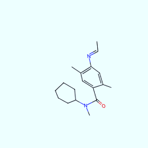 C/C=N/c1cc(C)c(C(=O)N(C)C2CCCCC2)cc1C